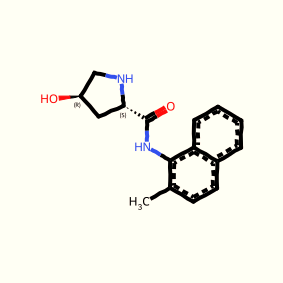 Cc1ccc2ccccc2c1NC(=O)[C@@H]1C[C@@H](O)CN1